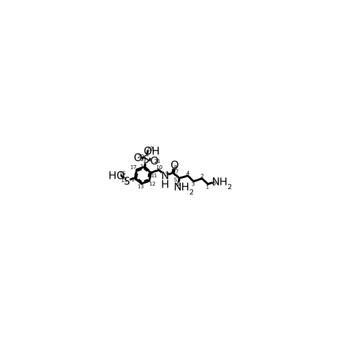 NCCCCC(N)C(=O)NCc1ccc(SO)cc1S(=O)(=O)O